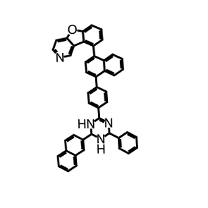 c1ccc(C2N=C(c3ccc(-c4ccc(-c5cccc6oc7ccncc7c56)c5ccccc45)cc3)NC(c3ccc4ccccc4c3)N2)cc1